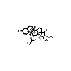 CSCO[C@]1(C(=O)COC(C)=O)CC[C@H]2[C@@H]3CCC4=CC(=O)C=C[C@]4(C)[C@H]3[C@@H](OC(=O)C(F)(F)F)C[C@@]21C